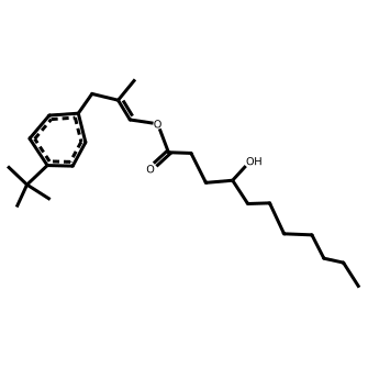 CCCCCCCC(O)CCC(=O)OC=C(C)Cc1ccc(C(C)(C)C)cc1